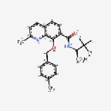 CCC(C)(C)C(NC(=O)c1ccc2ccc(C(F)(F)F)nc2c1OCc1ccc(C(F)(F)F)cc1)C(=O)O